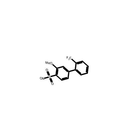 COc1cc(-c2ccccc2C(F)(F)F)ccc1S(=O)(=O)N=O